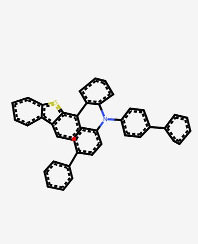 c1ccc(-c2ccc(N(c3ccc(-c4ccccc4)cc3)c3ccccc3-c3cccc4c3sc3ccccc34)cc2)cc1